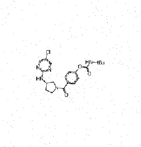 CC(C)(C)NC(=O)Oc1ccc(C(=O)N2CC[C@@H](Nc3ncc(Cl)cn3)C2)cc1